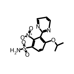 CC(C)Oc1ccc(S(N)(=O)=O)c([N+](=O)[O-])c1-c1ncccn1